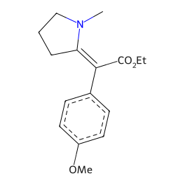 CCOC(=O)/C(=C1/CCCN1C)c1ccc(OC)cc1